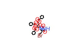 O=C(OC[C@H]1O[C@@H](n2cc(C=CBr)c(=O)[nH]c2=O)[C@H](OC(=O)c2ccccc2)[C@@H]1OC(=O)c1ccccc1)c1ccccc1